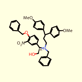 COc1ccc(C(CCN(Cc2ccccc2)[C@@H](CO)c2ccc(OCc3ccccc3)c([N+](=O)[O-])c2)c2ccc(OC)cc2)cc1